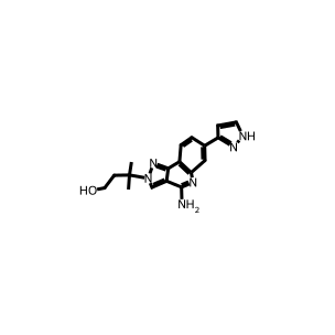 CC(C)(CCO)n1cc2c(N)nc3cc(-c4cc[nH]n4)ccc3c2n1